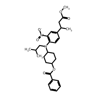 COC(=O)CC(C)c1ccc(N(CC(C)C)C2CCC(OC(=O)c3ccccc3)CC2)c([N+](=O)[O-])c1